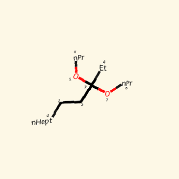 CCCCCCCCCC(CC)(OCCC)OCCC